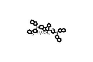 CC1(C)c2cc(N(c3ccc4ccccc4c3)c3ccc4sc5ccccc5c4c3)ccc2-c2c1cc(-c1ccc(N(c3ccc4ccccc4c3)c3ccc4ccccc4c3)cn1)c1ccccc21